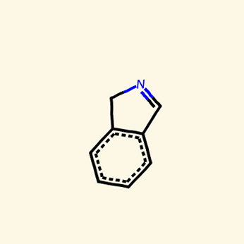 C1=NCc2ccccc21